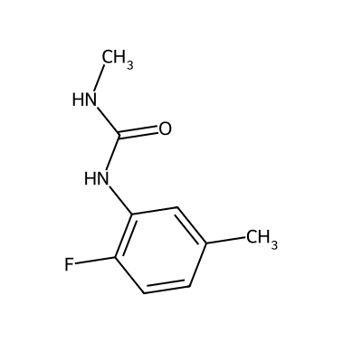 CNC(=O)Nc1cc(C)ccc1F